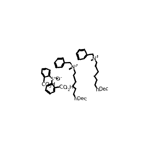 CCCCCCCCCCCCCCCC[N+](C)(C)Cc1ccccc1.CCCCCCCCCCCCCCCC[N+](C)(C)Cc1ccccc1.O=C(O)c1ccccc1[S+]([O-])c1ccccc1C(=O)O